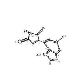 O=C1C=C(c2cc(F)cc3ccoc23)C(=O)N1